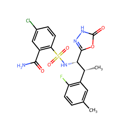 Cc1ccc(F)c([C@@H](C)[C@H](NS(=O)(=O)c2ccc(Cl)cc2C(N)=O)c2n[nH]c(=O)o2)c1